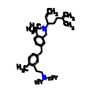 C=CC(CCC(=C)C)N(C)Cc1cc(Cc2ccc(C)c(CCN(CCC)CCC)c2)ccc1C